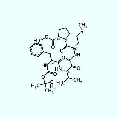 COC(=O)[C@@H]1CCCN1C(=O)[C@H](CCSC)N[Se]C(=O)[C@@H](NC(=O)[C@H](Cc1ccccc1)NC(=O)OC(C)(C)C)C(C)C